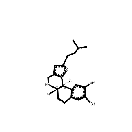 CC(C)CCc1cc2c(s1)[C@H]1c3cc(O)c(O)cc3CC[C@@H]1NC2